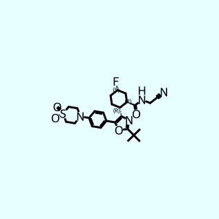 CC(C)(C)c1nc([C@@H]2CC[C@H](F)C[C@H]2C(=O)NCC#N)c(-c2ccc(N3CCS(=O)(=O)CC3)cc2)o1